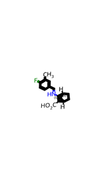 Cc1cc(CN[C@H]2[C@@H]3CC[C@@H](C3)[C@H]2C(=O)O)ccc1F